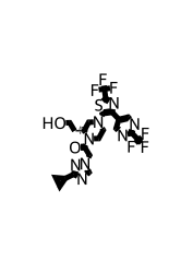 O=C(Cn1cnc(C2CC2)n1)N1CCN(c2sc(C(F)(F)F)nc2-c2cnc(C(F)(F)F)nc2)C[C@H]1CCO